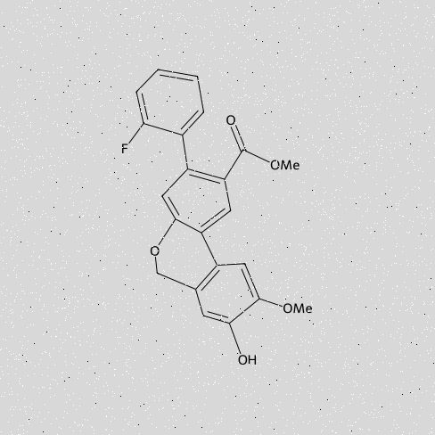 COC(=O)c1cc2c(cc1-c1ccccc1F)OCc1cc(O)c(OC)cc1-2